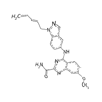 C=CC=CCn1ncc2cc(Nc3nc(C(N)=O)nc4cc(OC)[c]cc34)ccc21